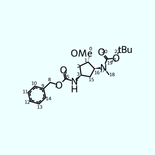 CO[C@H]1C[C@H](NC(=O)OCc2ccccc2)C[C@@H]1N(C)C(=O)OC(C)(C)C